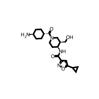 N[C@H]1CC[C@H](C(=O)N2CC[C@H](NC(=O)c3cc(C4CC4)on3)[C@H](CO)C2)CC1